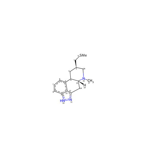 CSC[C@@H]1CC2c3cccc4[nH]nc(c34)C[C@H]2N(C)C1